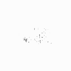 C#CCn1nnnc1SCC1=C(C(=O)O)N2C(=O)C(NC(=O)/C(=N\OCC(=O)OC(C)(C)C)c3csc(N)n3)[C@H]2SC1.Cl